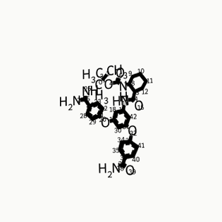 CC(C)(C)OC(=O)NC1CCCCC1C(=O)Nc1cc(Oc2ccc(C(=N)N)cc2)cc(Oc2ccc(C(N)=O)cc2)c1